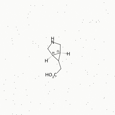 O=C(O)CC1[C@H]2CNC[C@@H]12